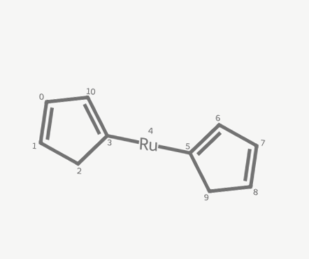 C1=CC[C]([Ru][C]2=CC=CC2)=C1